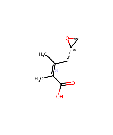 C/C(C[C@H]1CO1)=C(\C)C(=O)O